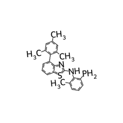 Cc1cc(C)c(-c2cccc3sc(Nc4c(C)cccc4P)nc23)c(C)c1